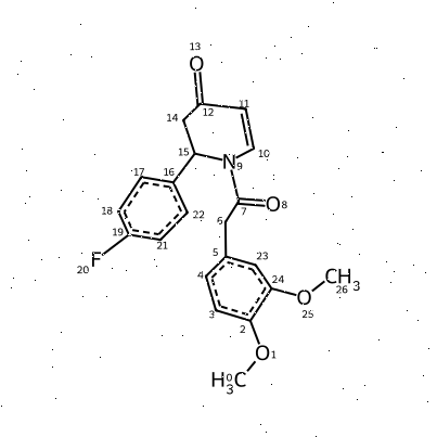 COc1ccc(CC(=O)N2C=CC(=O)CC2c2ccc(F)cc2)cc1OC